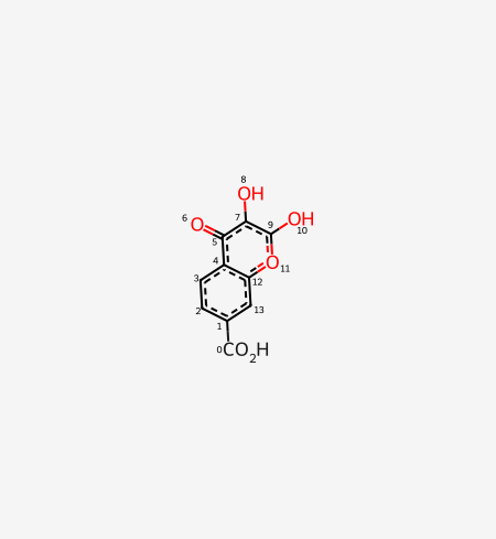 O=C(O)c1ccc2c(=O)c(O)c(O)oc2c1